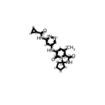 Cc1cc(Nc2cnnc(NC(=O)C3CC3)c2)c(=O)n2c1C(=O)NC21CCCC1